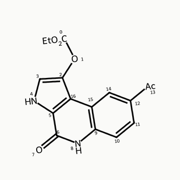 CCOC(=O)Oc1c[nH]c2c(=O)[nH]c3ccc(C(C)=O)cc3c12